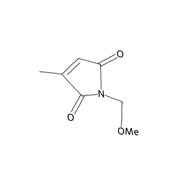 COCN1C(=O)C=C(C)C1=O